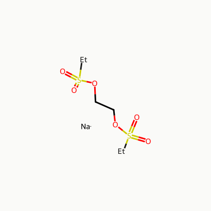 CCS(=O)(=O)OCCOS(=O)(=O)CC.[Na]